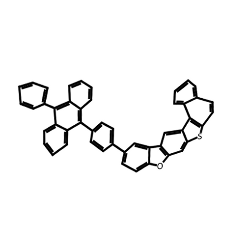 c1ccc(-c2c3ccccc3c(-c3ccc(-c4ccc5oc6cc7sc8ccc9ccccc9c8c7cc6c5c4)cc3)c3ccccc23)cc1